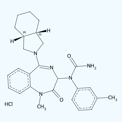 Cc1cccc(N(C(N)=O)C2N=C(N3C[C@H]4CCCC[C@H]4C3)c3ccccc3N(C)C2=O)c1.Cl